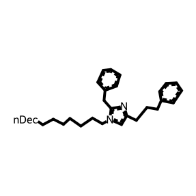 CCCCCCCCCCCCCCCCCn1cc(CCCc2ccccc2)nc1Cc1ccccc1